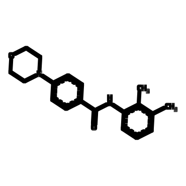 Cc1cccc(NC(=O)c2ccc(N3CCOCC3)cc2)c1C